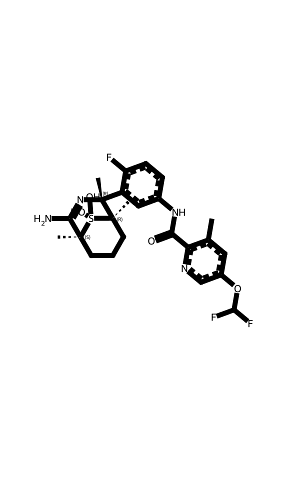 Cc1cc(OC(F)F)cnc1C(=O)Nc1ccc(F)c([C@@]2(C)N=C(N)[C@]3(C)CCC[C@@]2(C)S3(O)O)c1